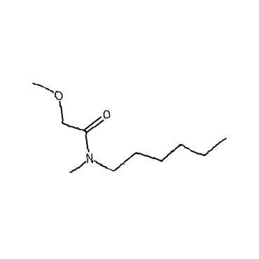 CCCCCCN(C)C(=O)COC